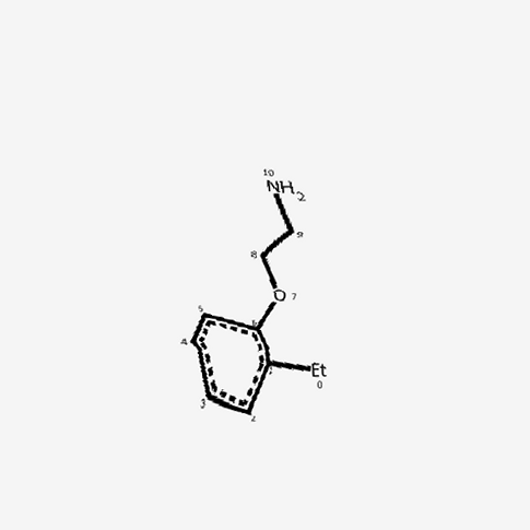 CCc1ccccc1OCCN